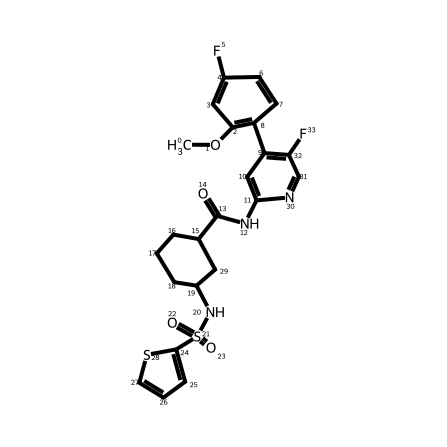 COc1cc(F)ccc1-c1cc(NC(=O)C2CCCC(NS(=O)(=O)c3cccs3)C2)ncc1F